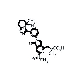 CC(C)N(C)c1cc2c(c(CN(C)C(=O)O)n1)CN(c1cccc(-c3nnc4n3C(C)(C)CCC4)n1)C2=O